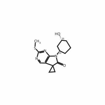 CSc1ncc2c(n1)N([C@@H]1CCC[C@@H](O)C1)C(=O)C21CC1